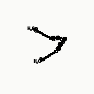 C=CC(=O)OCCCCCCCCCCCOc1ccc(-c2ccc(CO[C@@H]3CCCC[C@H]3OCc3ccc(-c4ccc(OCCCCCCCCCCCOC(=O)C=C)cn4)cc3)cc2)nc1